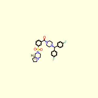 O=C(c1cccc(S(=O)(=O)N2CCN3CCC[C@H]3C2)c1)N1CCN(C(c2ccc(F)cc2)c2ccc(F)cc2)CC1